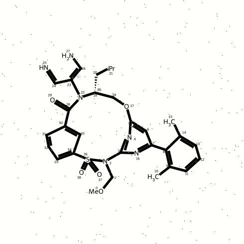 COCN1c2nc(cc(-c3c(C)cccc3C)n2)OC[C@@H](CC(C)C)N(/C(C=N)=C/N)C(=O)c2cccc(c2)S1(=O)=O